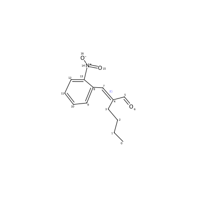 CCCC/C(C=O)=C\c1ccccc1[N+](=O)[O-]